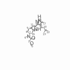 COCC(=O)N(C)C1C=Cc2cc(-c3n[nH]c(C)c3CCC(C)C)[nH]c2C1